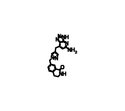 Nc1cc(Cc2cnn(Cc3ccc4c(c3)C(=O)NCC4)c2)c2nn[nH]c2n1